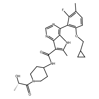 Cc1ccc(OCC2CC2)c(-c2ncnc3c(C(=O)NC4CCN(C(=O)[C@H](C)O)CC4)c(C)[nH]c23)c1F